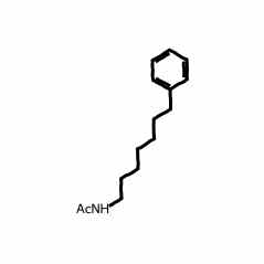 CC(=O)NCCCCCCCc1ccccc1